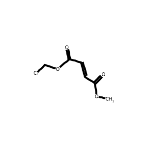 COC(=O)C=CC(=O)OCCl